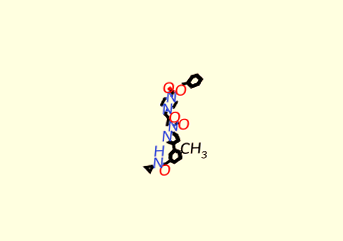 Cc1ccc(C(=O)NC2CC2)cc1-c1ccc(N2CC(CN3CCN(C(=O)OCc4ccccc4)CC3)OC2=O)nc1